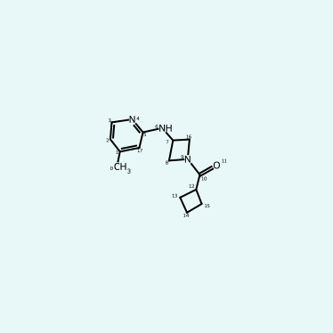 Cc1ccnc(NC2CN(C(=O)C3CCC3)C2)c1